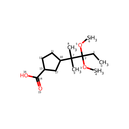 CCC(O[SiH3])(O[SiH3])C(C)(C)C1CCC(C(=O)O)C1